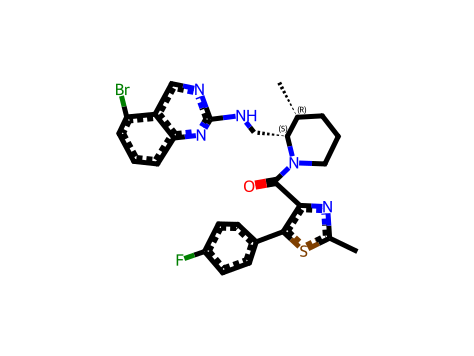 Cc1nc(C(=O)N2CCC[C@@H](C)[C@H]2CNc2ncc3c(Br)cccc3n2)c(-c2ccc(F)cc2)s1